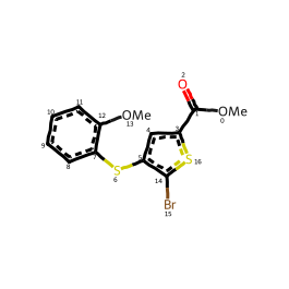 COC(=O)c1cc(Sc2ccccc2OC)c(Br)s1